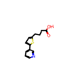 O=C(O)CCCc1ccc(-c2cccnc2)s1